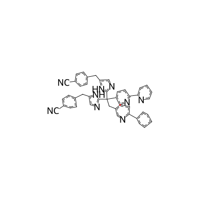 N#Cc1ccc(Cc2cnc(C(Cc3ccc(-c4ccccc4)nc3)(c3ccc(-c4ccccn4)nc3)c3ncc(Cc4ccc(C#N)cc4)[nH]3)[nH]2)cc1